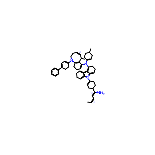 C/C=C\C=C(/N)C1CC=C(n2c3c(c4c2=CCCC=4N(C2=CCC(C)CC2)C2=CCCC4=C2C(C)/C=C\CCN4C2=CC=C(c4ccccc4)CC2)=CCCC=3)CC1